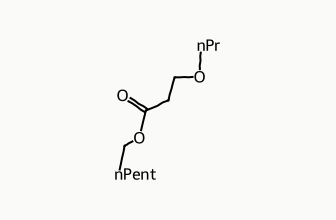 CCCCCCOC(=O)CCOCCC